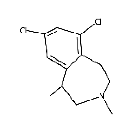 CC1CN(C)CCc2c(Cl)cc(Cl)cc21